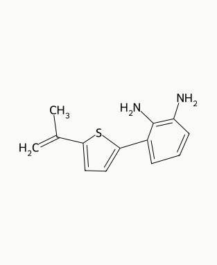 C=C(C)c1ccc(-c2cccc(N)c2N)s1